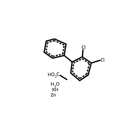 CC(=O)O.Clc1cccc(-c2ccccc2)c1Cl.O.[KH].[Zn]